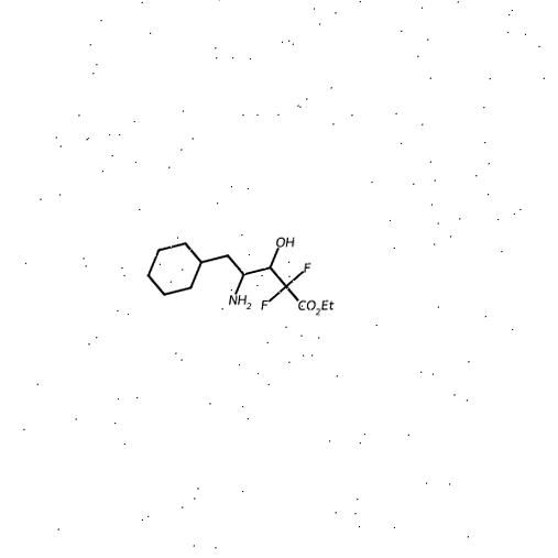 CCOC(=O)C(F)(F)C(O)C(N)CC1CCCCC1